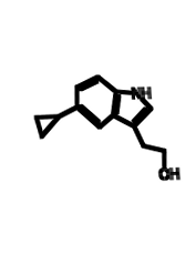 OCCc1c[nH]c2ccc(C3CC3)cc12